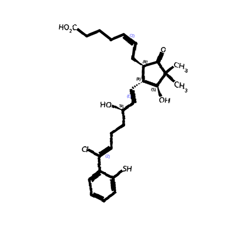 CC1(C)C(=O)[C@H](C/C=C\CCCC(=O)O)[C@@H](/C=C/[C@H](O)CC/C=C(\Cl)c2ccccc2S)[C@@H]1O